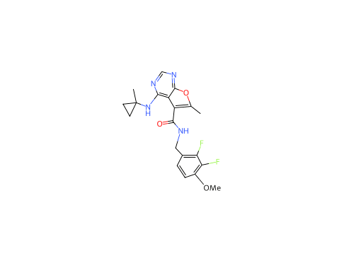 COc1ccc(CNC(=O)c2c(C)oc3ncnc(NC4(C)CC4)c23)c(F)c1F